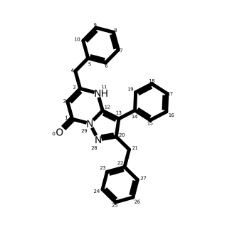 O=c1cc(Cc2ccccc2)[nH]c2c(-c3ccccc3)c(Cc3ccccc3)nn12